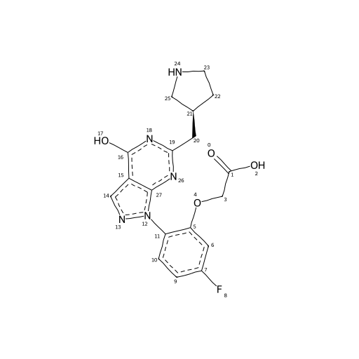 O=C(O)COc1cc(F)ccc1-n1ncc2c(O)nc(C[C@@H]3CCNC3)nc21